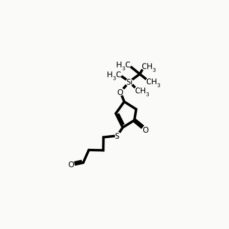 CC(C)(C)[Si](C)(C)OC1C=C(SCCCC=O)C(=O)C1